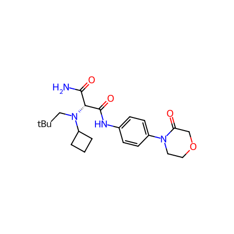 CC(C)(C)CN(C1CCC1)[C@H](C(N)=O)C(=O)Nc1ccc(N2CCOCC2=O)cc1